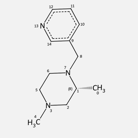 C[C@@H]1CN(C)CCN1Cc1cccnc1